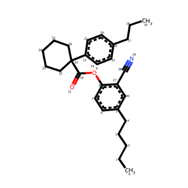 CCCCCc1ccc(OC(=O)C2(c3ccc(CCC)cc3)CCCCC2)c(C#N)c1